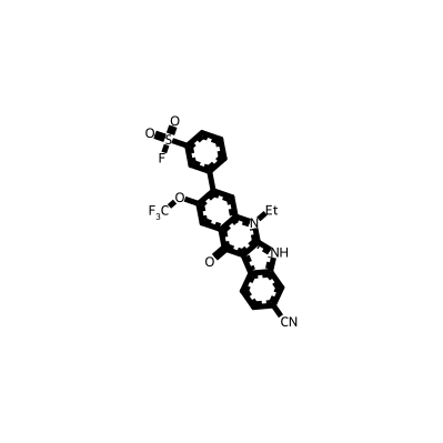 CCn1c2cc(-c3cccc(S(=O)(=O)F)c3)c(OC(F)(F)F)cc2c(=O)c2c3ccc(C#N)cc3[nH]c21